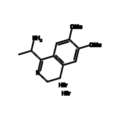 Br.Br.COc1cc2c(cc1OC)C(C(C)N)=NCC2